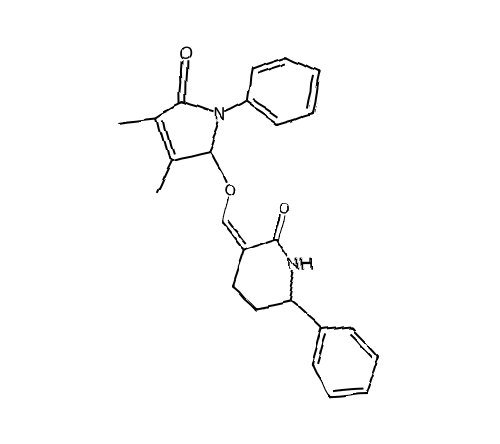 CC1=C(C)C(OC=C2CCC(c3ccccc3)NC2=O)N(c2ccccc2)C1=O